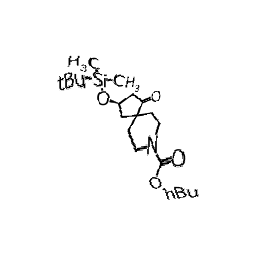 CCCCOC(=O)N1CCC2(CC1)C[C@@H](O[Si](C)(C)C(C)(C)C)CC2=O